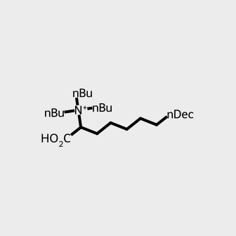 CCCCCCCCCCCCCCCC(C(=O)O)[N+](CCCC)(CCCC)CCCC